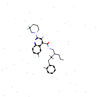 Cc1c(N2CCCC(F)(F)C2)nc2ccc(Br)cc2c1C(=O)NCC(CCC(=O)O)C(C)(C)Cc1ccccc1C(F)(F)F